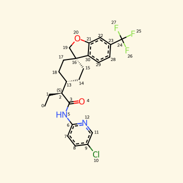 CC[C@H](C(=O)Nc1ccc(Cl)cn1)[C@H]1CC[C@]2(CC1)COc1cc(C(F)(F)F)ccc12